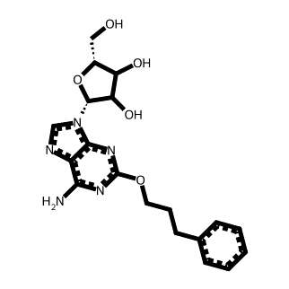 Nc1nc(OCCCc2ccccc2)nc2c1ncn2[C@@H]1O[C@H](CO)C(O)C1O